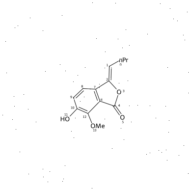 CCCC=C1OC(=O)c2c1ccc(O)c2OC